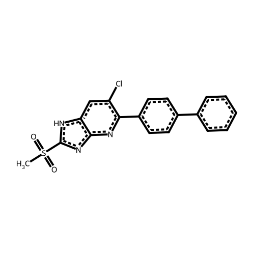 CS(=O)(=O)c1nc2nc(-c3ccc(-c4ccccc4)cc3)c(Cl)cc2[nH]1